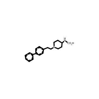 O=C(O)NC1CCN(CCc2ccc(-c3ccccc3)cc2)CC1